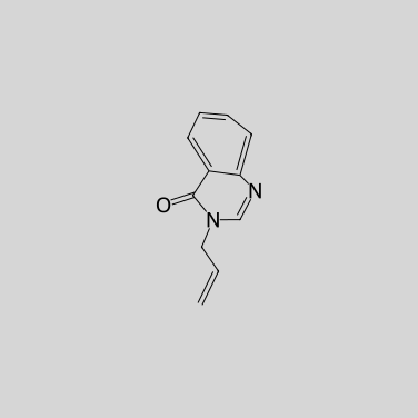 C=CCn1cnc2ccccc2c1=O